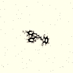 Cc1cnc(CN(CCCCN2C(=O)c3ccccc3C2=O)C(C)(C)c2ccccn2)c(C)c1